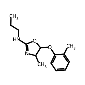 CCCNC1=NC(C)C(Oc2ccccc2C)O1